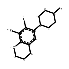 CC1CCC(c2cc3c(c(F)c2F)OCCC3)CC1